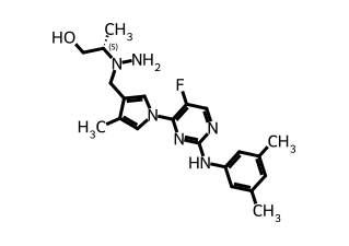 Cc1cc(C)cc(Nc2ncc(F)c(-n3cc(C)c(CN(N)[C@@H](C)CO)c3)n2)c1